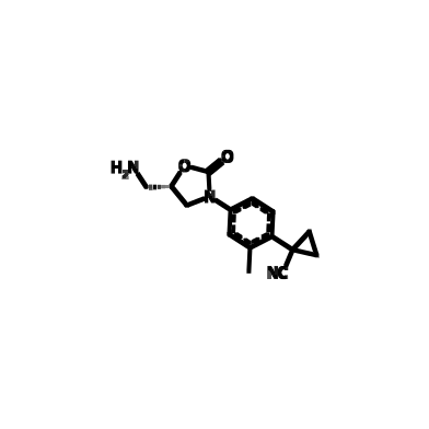 Cc1cc(N2C[C@H](CN)OC2=O)ccc1C1(C#N)CC1